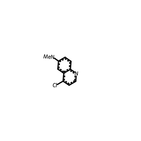 CNc1ccc2nccc(Cl)c2c1